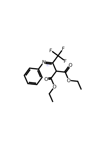 CCOC(=O)C(C(=O)OCC)/C(=N\c1ccccc1)C(F)(F)F